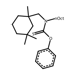 CCCCCCCCN(CC1(C)C[CH]CC(C)(C)C1)C(=S)Oc1ccccc1